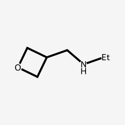 CCNCC1COC1